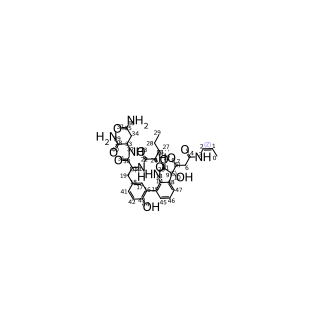 C/C=C\NC(=O)C[C@H](O)[C@]1(O)C(=O)Nc2c(-c3cc(C[C@H](NC(=O)C(=O)[C@@H](C)CC)C(=O)NC(CC(N)=O)C(N)=O)ccc3O)cccc21